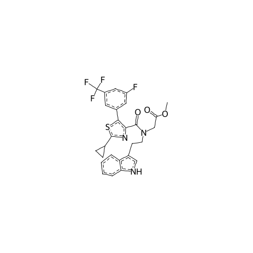 COC(=O)CN(CCc1c[nH]c2ccccc12)C(=O)c1nc(C2CC2)sc1-c1cc(F)cc(C(F)(F)F)c1